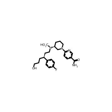 NC(=O)c1ccc(N2CCC[C@H](N(CC[C@H](CCCO)c3ccc(F)cc3)C(=O)O)C2)nc1